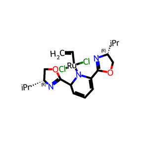 C=[CH][Ru]([Cl])([Cl])[N]1C(C2=N[C@H](C(C)C)CO2)=CC=CC1C1=N[C@H](C(C)C)CO1